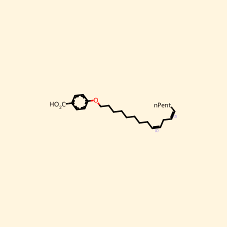 CCCCC/C=C\C/C=C\CCCCCCCCOc1ccc(C(=O)O)cc1